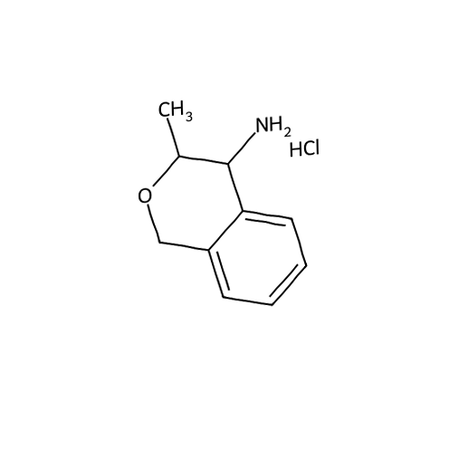 CC1OCc2ccccc2C1N.Cl